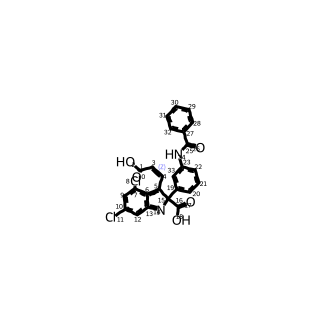 O=C(O)/C=C\C1=c2c(Cl)cc(Cl)cc2=NC1(C(=O)O)c1cccc(NC(=O)c2ccccc2)c1